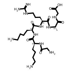 C[C@H](NC(=O)[C@H](CCCNC(=N)N)NC(=O)[C@H](CCCCN)NC(=O)[C@H](CCCCN)NC(=O)CN)C(=O)NCC(=O)O